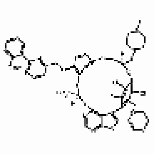 COc1ccccc1-c1nccc(COc2ccc3cc2C[C@H](C(=O)O)Oc2ncnc4sc(C5=COCCO5)c(c24)-c2c(C)c(Cl)c(c(Cl)c2C)O[C@H](CN2CCN(C)CC2)CO3)n1